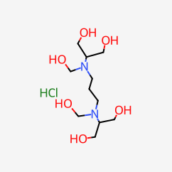 Cl.OCC(CO)N(CO)CCCN(CO)C(CO)CO